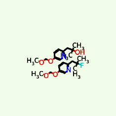 COCOc1ccc(CC(C)(C)F)nc1.COCOc1ccc(CC(C)(C)O)nc1